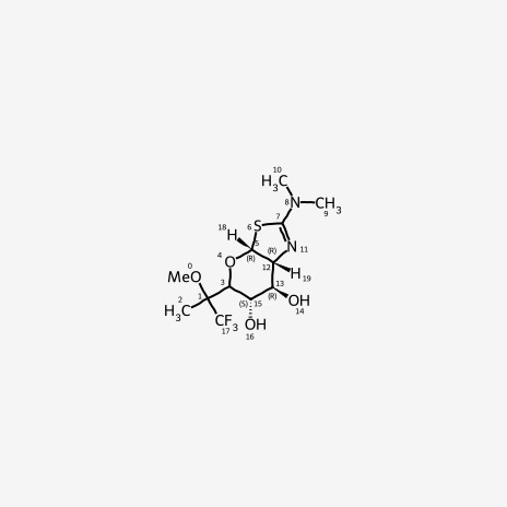 COC(C)(C1O[C@@H]2SC(N(C)C)=N[C@@H]2[C@@H](O)[C@@H]1O)C(F)(F)F